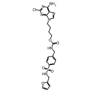 Nc1nc(Cl)nc2c1ncn2CCCCOC(=O)NCc1ccc(S(=O)(=O)NCc2ccco2)cc1